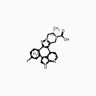 Cc1c[nH]c2nccc(-c3c(-c4ccc(F)cc4)nn4c3CN(C(=O)O)[C@@H](C)C4)c12